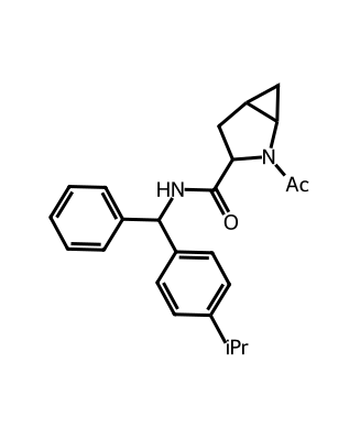 CC(=O)N1C(C(=O)NC(c2ccccc2)c2ccc(C(C)C)cc2)CC2CC21